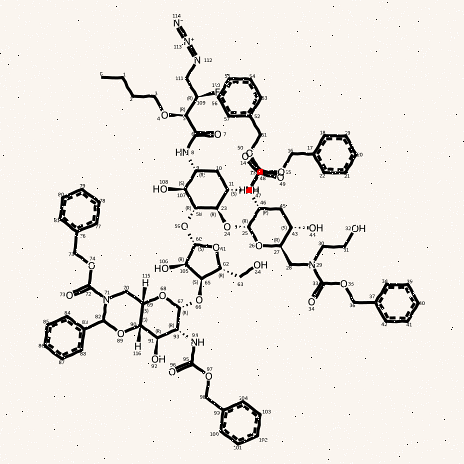 CCCCO[C@H](C(=O)N[C@@H]1C[C@H](NC(=O)OCc2ccccc2)[C@@H](O[C@H]2O[C@H](CN(CCO)C(=O)OCc3ccccc3)[C@@H](O)C[C@H]2NC(=O)OCc2ccccc2)[C@H](O[C@@H]2O[C@H](CO)[C@@H](O[C@H]3O[C@H]4CN(C(=O)OCc5ccccc5)C(c5ccccc5)O[C@H]4[C@H](O)[C@H]3NC(=O)OCc3ccccc3)[C@H]2O)[C@H]1O)[C@H](F)CN=[N+]=[N-]